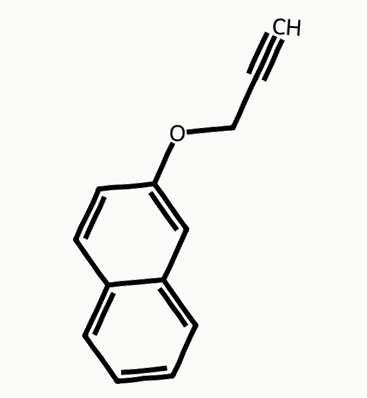 C#CCOc1ccc2ccccc2c1